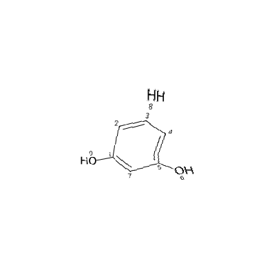 Oc1cccc(O)c1.[HH]